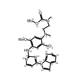 COc1cc(N(C)CCN(C)C(=O)OC(C)(C)C)c([N+](=O)[O-])cc1Nc1nccc(-n2ccc3cccnc32)n1